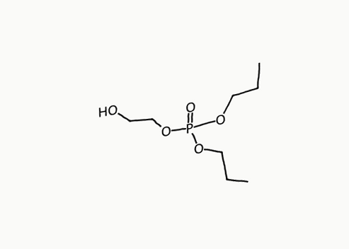 CCCOP(=O)(OCCC)OCCO